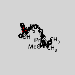 CO[C@@H]1C[C@@H](C(=O)N[C@@H](C)c2ccc(C)cc2)N(C(=O)[C@@H](c2cc(N3CCC(CN4CCC(OC5CC(Oc6cc(N7C8CCC7CN(c7cc(-c9ccccc9O)nnc7N)C8)ccn6)C5)CC4)CC3)no2)C(C)C)C1